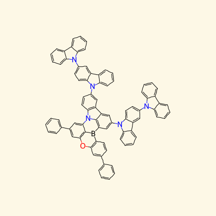 c1ccc(-c2ccc3c(c2)Oc2cc(-c4ccccc4)cc4c2B3c2cc(-n3c5ccccc5c5cc(-n6c7ccccc7c7ccccc76)ccc53)cc3c5cc(-n6c7ccccc7c7cc(-n8c9ccccc9c9ccccc98)ccc76)ccc5n-4c23)cc1